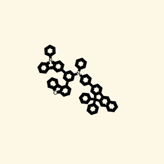 c1ccc(N(c2ccc(-c3ccc4c(c3)C(c3ccccc3)(c3ccccc3)c3cc5ccccc5cc3-4)cc2)c2cc(-c3ccc4c(c3)c3ccccc3n4-c3ccccc3)cc(-c3cccc4oc5ccccc5c34)c2)cc1